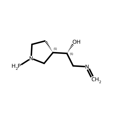 C=NC[C@@H](O)[C@H]1CCN(P)C1